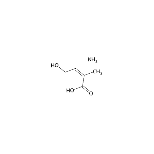 CC(=CCO)C(=O)O.N